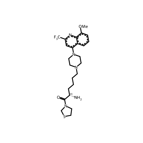 COc1cccc2c(N3CCN(CCCC[C@H](N)C(=O)N4CCSC4)CC3)cc(C(F)(F)F)nc12